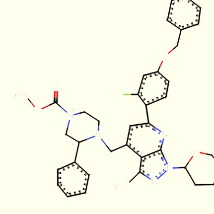 Cc1nn(C2CCCCO2)c2nc(-c3ccc(OCc4ccccc4)cc3F)cc(CN3CCN(C(=O)OC(C)(C)C)CC3c3ccccc3)c12